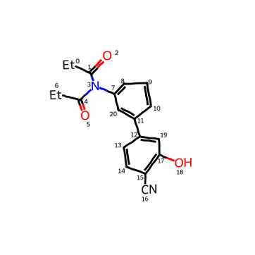 CCC(=O)N(C(=O)CC)c1cccc(-c2ccc(C#N)c(O)c2)c1